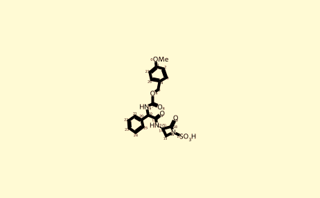 COc1ccc(COC(=O)NC(C(=O)N[C@H]2CN(S(=O)(=O)O)C2=O)c2ccccc2)cc1